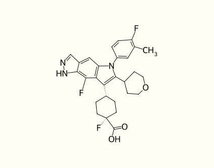 Cc1cc(-n2c(C3CCOCC3)c([C@H]3CC[C@](F)(C(=O)O)CC3)c3c(F)c4[nH]ncc4cc32)ccc1F